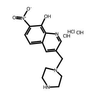 Cl.Cl.Cl.O=[N+]([O-])c1ccc2cc(CN3CCNCC3)cnc2c1O